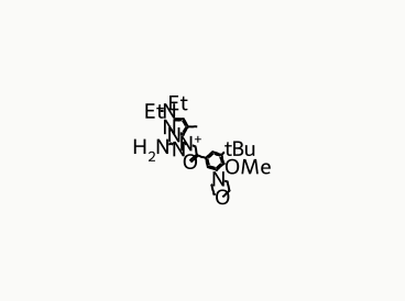 CCN(CC)c1cc(C)c2n(n1)c(N)n[n+]2CC(=O)c1cc(N2CCOCC2)c(OC)c(C(C)(C)C)c1